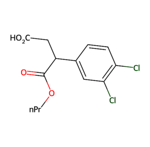 CCCOC(=O)C(CC(=O)O)c1ccc(Cl)c(Cl)c1